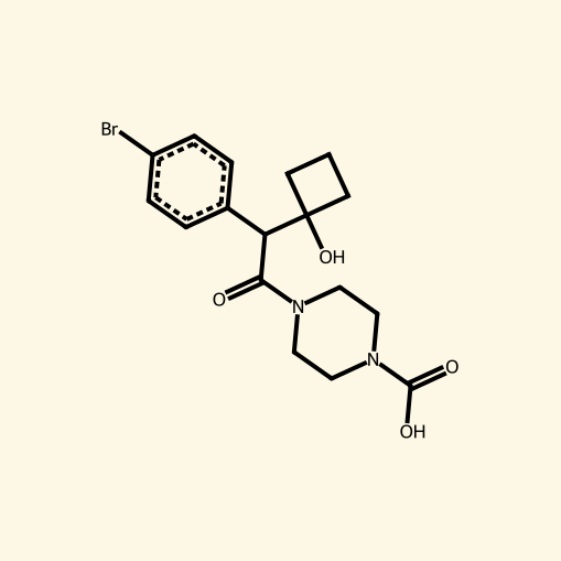 O=C(O)N1CCN(C(=O)C(c2ccc(Br)cc2)C2(O)CCC2)CC1